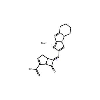 O=C([O-])C1=CCC2/C(=C\c3cn4c(n3)nc3n4CCCC3)C(=O)N12.[Na+]